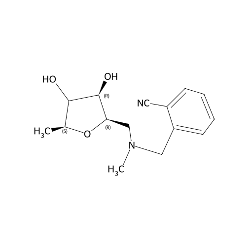 C[C@@H]1O[C@H](CN(C)Cc2ccccc2C#N)[C@H](O)C1O